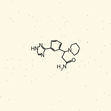 NC(=O)CC(c1cccc(-c2nc[nH]n2)c1)N1CCCCC1